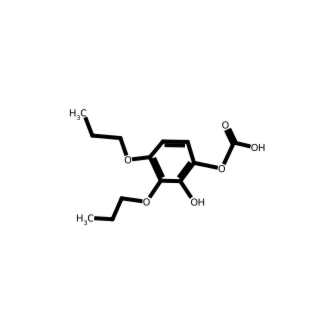 CCCOc1ccc(OC(=O)O)c(O)c1OCCC